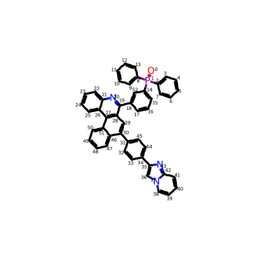 O=P(c1ccccc1)(c1ccccc1)c1cccc(-c2nc3ccccc3c3c2cc(-c2ccc(-c4cn5ccccc5n4)cc2)c2ccccc23)c1